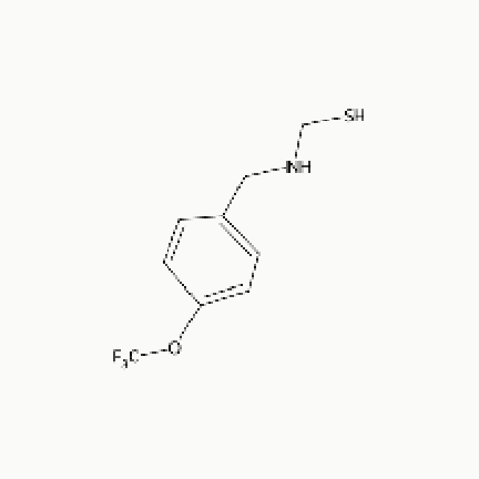 FC(F)(F)Oc1ccc(CNCS)cc1